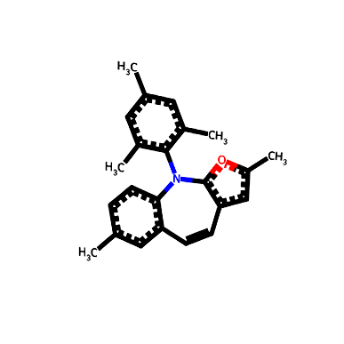 Cc1cc(C)c(N2c3ccc(C)cc3C=Cc3cc(C)oc32)c(C)c1